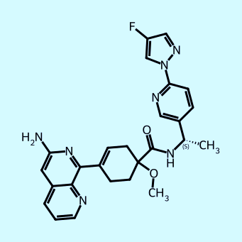 COC1(C(=O)N[C@@H](C)c2ccc(-n3cc(F)cn3)nc2)CC=C(c2nc(N)cc3cccnc23)CC1